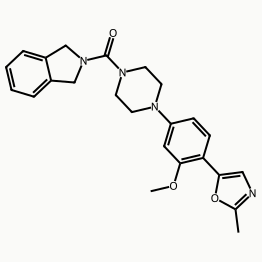 COc1cc(N2CCN(C(=O)N3Cc4ccccc4C3)CC2)ccc1-c1cnc(C)o1